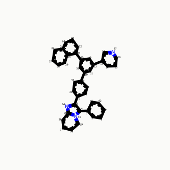 c1ccc(-c2c(-c3ccc(-c4cc(-c5cccnc5)cc(-c5cccc6ccccc56)c4)cc3)nc3ccccn23)cc1